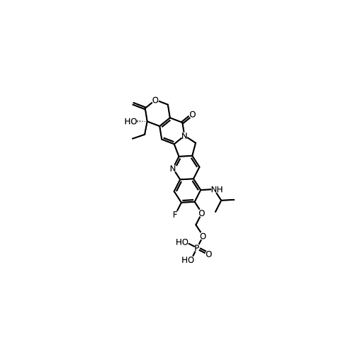 C=C1OCc2c(cc3n(c2=O)Cc2cc4c(NC(C)C)c(OCOP(=O)(O)O)c(F)cc4nc2-3)[C@@]1(O)CC